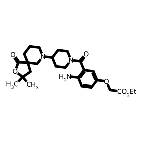 CCOC(=O)COc1ccc(N)c(C(=O)N2CCC(N3CCCC4(C3)CC(C)(C)OC4=O)CC2)c1